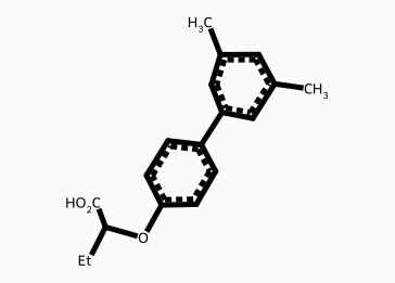 CCC(Oc1ccc(-c2cc(C)cc(C)c2)cc1)C(=O)O